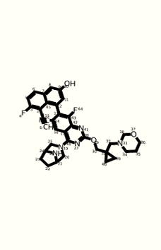 C#Cc1c(F)ccc2cc(O)cc(-c3c(C#N)cc4c(N5CC6CCC(C5)N6)nc(OCC5(CN6CCCOC6)CC5)nc4c3F)c12